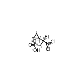 CCC(CP(=O)(O)O)(C1CC1)N(Cl)Cl